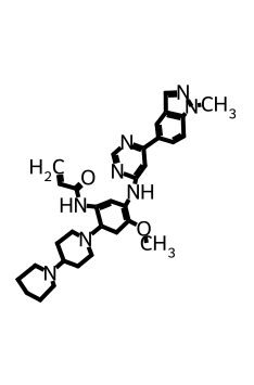 C=CC(=O)NC1=CC(Nc2cc(-c3ccc4c(cnn4C)c3)ncn2)=C(OC)CC1N1CCC(N2CCCCC2)CC1